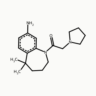 CC1(C)CCCN(C(=O)CN2CCCC2)c2cc(N)ccc21